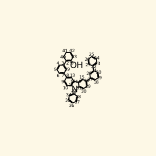 OC1=C(c2cccc(-c3ccc4c(c3)c3cc(-c5cccc(-c6ccccc6)c5)ccc3n4-c3ccccc3)c2)CCC=C1